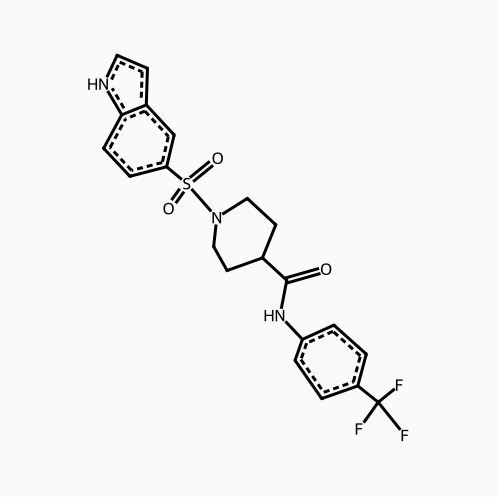 O=C(Nc1ccc(C(F)(F)F)cc1)C1CCN(S(=O)(=O)c2ccc3[nH]ccc3c2)CC1